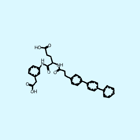 O=C(O)CCC(NC(=O)CCc1ccc(-c2ccc(-c3ccccc3)cc2)cc1)C(=O)Nc1cccc(CC(=O)O)c1